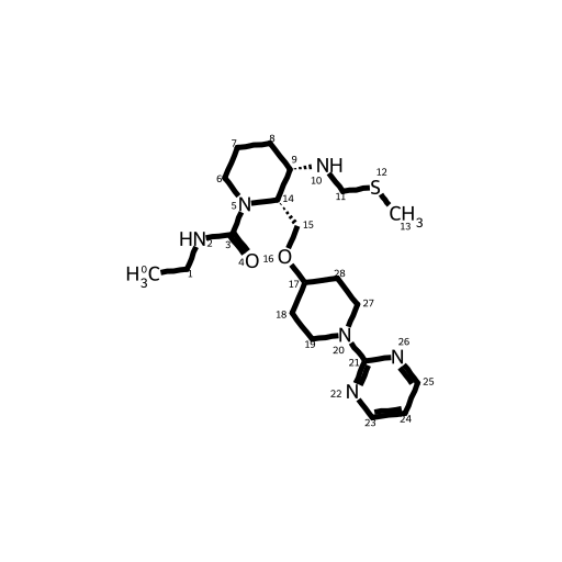 CCNC(=O)N1CCC[C@H](NCSC)[C@@H]1COC1CCN(c2ncccn2)CC1